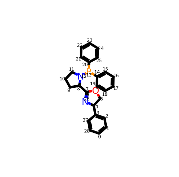 c1ccc(C2COC(C3CCCN3P(c3ccccc3)c3ccccc3)=N2)cc1